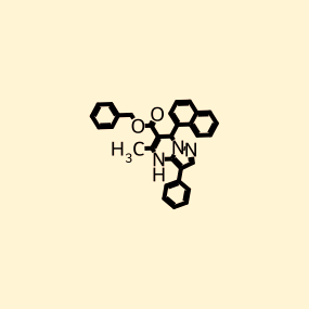 CC1=C(C(=O)OCc2ccccc2)C(c2cccc3ccccc23)n2ncc(-c3ccccc3)c2N1